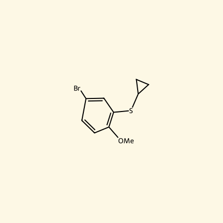 COc1ccc(Br)cc1SC1CC1